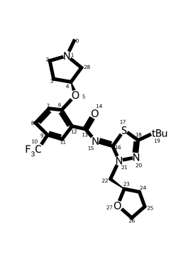 CN1CC[C@H](Oc2ccc(C(F)(F)F)cc2C(=O)/N=c2\sc(C(C)(C)C)nn2C[C@H]2CCCO2)C1